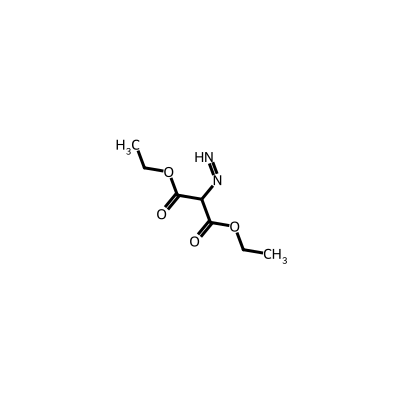 CCOC(=O)C(N=N)C(=O)OCC